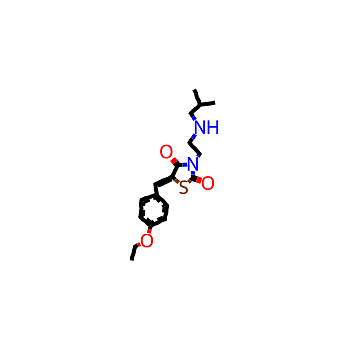 CCOc1ccc(/C=C2\SC(=O)N(CCNCC(C)C)C2=O)cc1